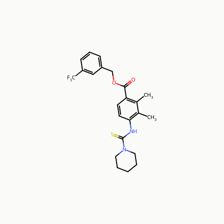 Cc1c(NC(=S)N2CCCCC2)ccc(C(=O)OCc2cccc(C(F)(F)F)c2)c1C